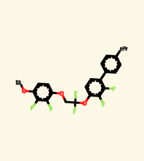 CCCc1ccc(-c2ccc(OC(F)(F)COc3ccc(OCC)c(F)c3F)c(F)c2F)cc1